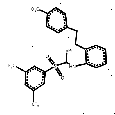 CCCC(Nc1ccccc1CCc1ccc(C(=O)O)cc1)S(=O)(=O)c1cc(C(F)(F)F)cc(C(F)(F)F)c1